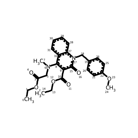 CCOC(=O)CN(C)c1c(C(=O)OCC)c(=O)n(Cc2ccc(OC)cc2)c2ccccc12